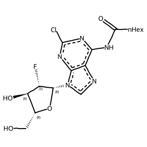 CCCCCCC(=O)Nc1nc(Cl)nc2c1ncn2[C@@H]1O[C@H](CO)[C@@H](O)[C@@H]1F